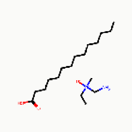 CCCCCCCCCCCCCC(=O)O.CC[N+](C)([O-])CN